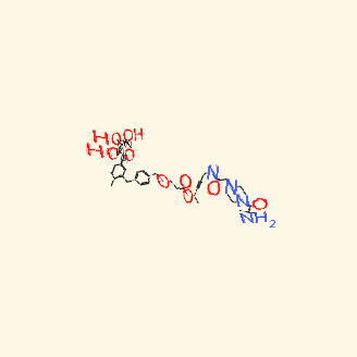 Cc1ccc([C@@H]2OC[C@@H](O)[C@H](O)[C@H]2O)cc1Cc1ccc(COCCC(=O)OC(C)C#CCN(C)C(=O)CN2CCN(C(=O)C(C)(C)N)CC2)cc1